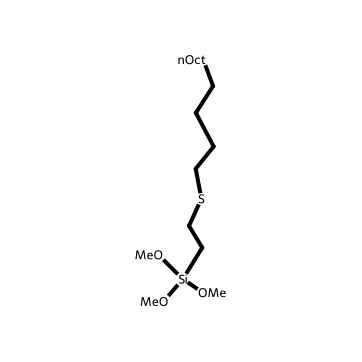 CCCCCCCCCCCCSCC[Si](OC)(OC)OC